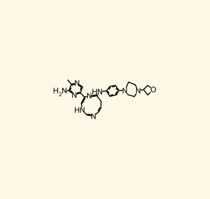 Cc1ncc(C2=C/N/C=N\C=C/C/C(Nc3ccc(N4CCN(C5COC5)CC4)cc3)=N\2)nc1N